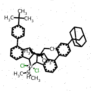 CCC(C)C1=Cc2c(-c3ccc(C(C)(C)C)cc3)cccc2[CH]1[Zr]([Cl])([Cl])([CH]1C(C)=Cc2c(-c3ccc(C45CC6CC(CC(C6)C4)C5)cc3)cccc21)[SiH](C)C